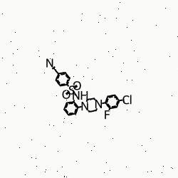 N#Cc1ccc(S(=O)(=O)Nc2ccccc2N2CCN(c3ccc(Cl)cc3F)CC2)cc1